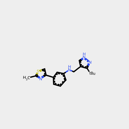 Cc1nc(-c2cccc(NCc3c[nH]nc3C(C)(C)C)c2)cs1